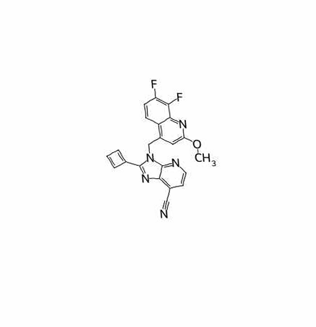 COc1cc(Cn2c(C3=CC=C3)nc3c(C#N)ccnc32)c2ccc(F)c(F)c2n1